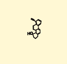 C#Cc1cccc2c1ccc1c3c(ccc12)CCCC3O